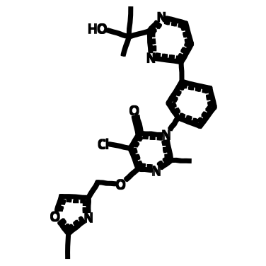 Cc1nc(COc2nc(C)n(-c3cccc(-c4ccnc(C(C)(C)O)n4)c3)c(=O)c2Cl)co1